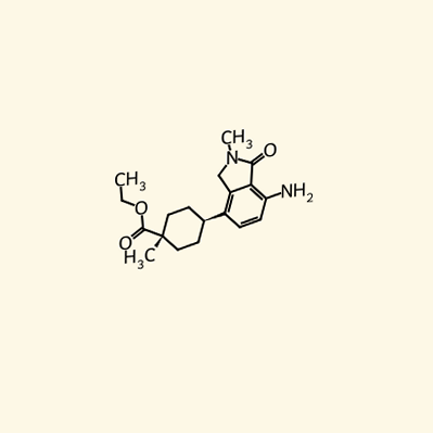 CCOC(=O)[C@]1(C)CC[C@@H](c2ccc(N)c3c2CN(C)C3=O)CC1